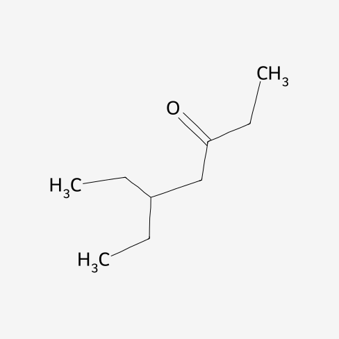 CCC(=O)CC(CC)CC